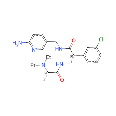 CCN(CC)[C@@H](C)C(=O)NC[C@H](C(=O)NCc1ccc(N)nc1)c1cccc(Cl)c1